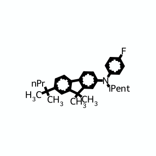 CCCC(C)N(c1ccc(F)cc1)c1ccc2c(c1)C(C)(C)c1cc(C(C)(C)CCC)ccc1-2